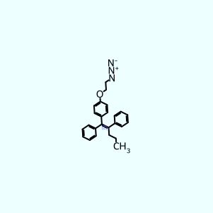 CCC/C(=C(\c1ccccc1)c1ccc(OCCN=[N+]=[N-])cc1)c1ccccc1